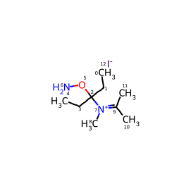 CCC(CC)(ON)[N+](C)=C(C)C.[I-]